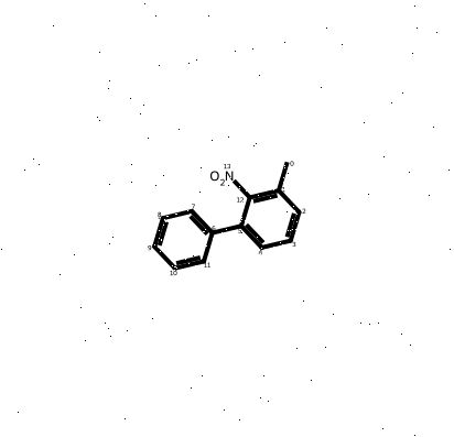 Cc1cccc(-c2c[c]ccc2)c1[N+](=O)[O-]